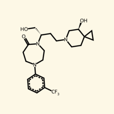 O=C1CCN(c2cccc(C(F)(F)F)c2)CCN1[C@H](CO)CCN1CCC2(CC2)[C@H](O)C1